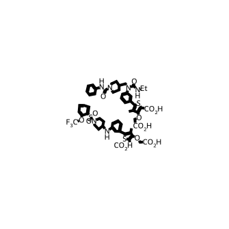 CCNC(=O)N(CC1CCN(C(=O)Nc2ccccc2)CC1)c1cccc(-c2sc(C(=O)O)c(OCC(=O)O)c2C)c1.Cc1c(-c2cccc(NC3CCN(S(=O)(=O)c4ccccc4OC(F)(F)F)CC3)c2)sc(C(=O)O)c1OCC(=O)O